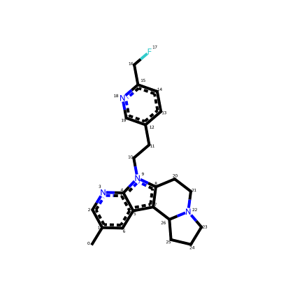 Cc1cnc2c(c1)c1c(n2CCc2ccc(CF)nc2)CCN2CCCC12